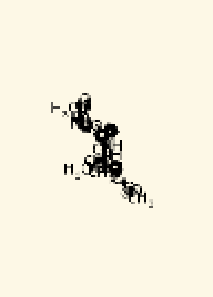 C[C@H]1COCCN1c1nnc2ccc(O[C@@H]3CC[C@H](NC(=O)Nc4cc(C(C)(C)C)nn4-c4cccc(OCCOS(C)(=O)=O)c4)c4ccccc43)cn12